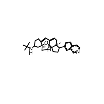 CC(C)(C)NC1CCC2=CC3=CC[C@@]4(C)C(c5ccc6ccncc6c5)CC[C@H]4[C@@]34CC[C@]2(C1)O4